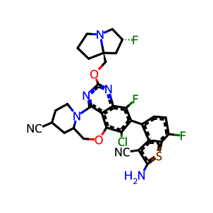 N#Cc1c(N)sc2c(F)ccc(-c3c(Cl)c4c5c(nc(OC[C@@]67CCCN6C[C@H](F)C7)nc5c3F)N3CCC(C#N)CC3CO4)c12